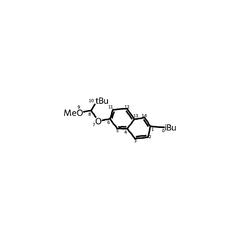 CCC(C)c1ccc2cc(OC(OC)C(C)(C)C)ccc2c1